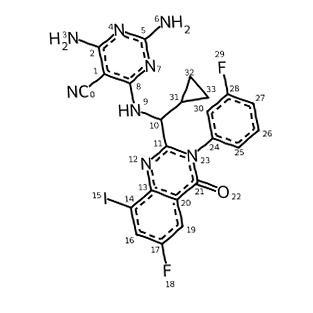 N#Cc1c(N)nc(N)nc1NC(c1nc2c(I)cc(F)cc2c(=O)n1-c1cccc(F)c1)C1CC1